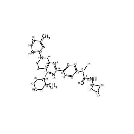 Cc1cc(N2CCc3c(nc(-c4ccc(N(I)C(=O)NC5COC5)cc4)nc3N3CCOCC3C)C2)ncn1